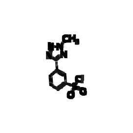 Cn1nnc(-c2cccc(S(=O)(=O)Cl)c2)n1